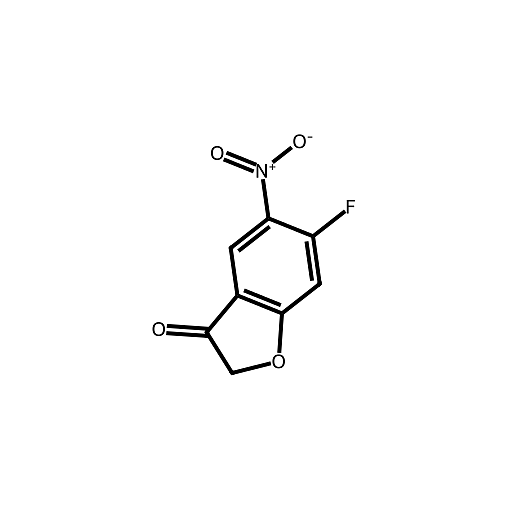 O=C1COc2cc(F)c([N+](=O)[O-])cc21